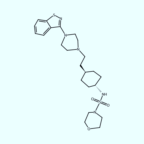 O=S(=O)(N[C@H]1CC[C@H](CCN2CCN(c3nsc4ccccc34)CC2)CC1)N1CCOCC1